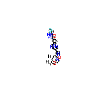 COC1CCN(C(=O)C(C)n2cc(-c3cnn4c(-c5cccc(NC(=O)NCC(F)(F)F)c5)cnc4c3)cn2)C1